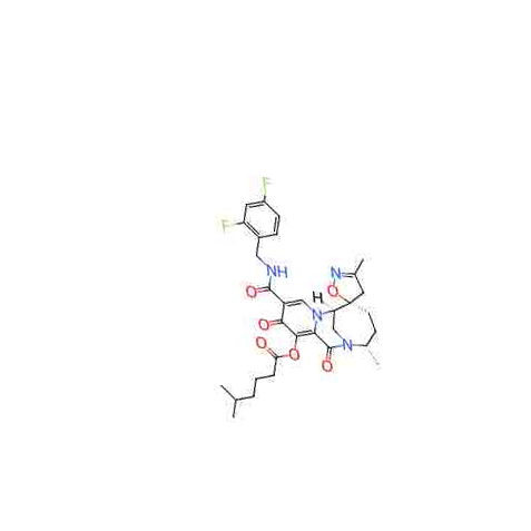 CC1=NO[C@@]2(CC[C@H](C)N3C[C@H]2n2cc(C(=O)NCc4ccc(F)cc4F)c(=O)c(OC(=O)CCCC(C)C)c2C3=O)C1